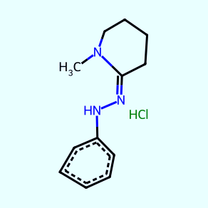 CN1CCCCC1=NNc1ccccc1.Cl